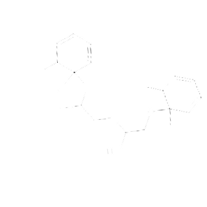 CC(COC1(C)C=CC=CC1C)OCC(C)OC1(C)C=CC=CC1C